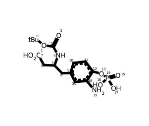 CC(C)(C)OC(=O)NC(CC(=O)O)Cc1ccc(OP(=O)(O)O)c(N)c1